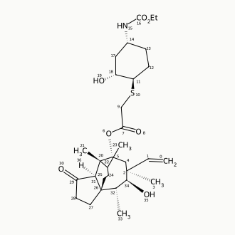 C=C[C@]1(C)C[C@@H](OC(=O)CS[C@@H]2CC[C@@H](NC(=O)OCC)C[C@H]2O)[C@]2(C)C(C)CC[C@]3(CCC(=O)[C@H]32)[C@@H](C)[C@@H]1O